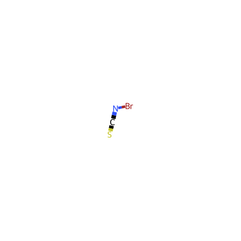 S=C=NBr